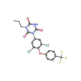 CCCn1c(=O)[nH]c(=O)n(-c2cc(Cl)c(Oc3ccc(C(F)(F)F)cc3)c(Cl)c2)c1=O